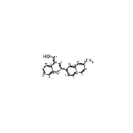 Cc1ccc2cnc(-c3c/c(=N/O)c4ccccc4o3)cc2c1